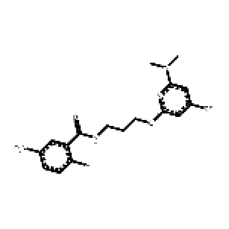 CN(C)c1cc(C(F)(F)F)cc(OCCCNC(=O)c2cc([N+](=O)[O-])ccc2F)n1